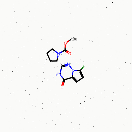 CC(C)(C)OC(=O)N1CCC[C@H]1c1nn2c(F)ccc2c(=O)[nH]1